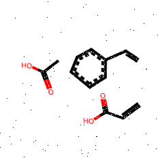 C=CC(=O)O.C=Cc1ccccc1.CC(=O)O